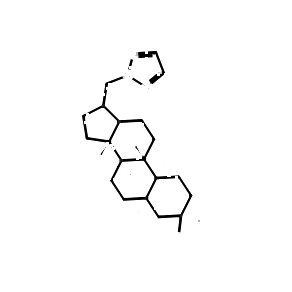 C[C@@H](C1CC[C@H]2[C@@H]3CC[C@@H]4C[C@](C)(O)CC[C@@H]4[C@H]3CC[C@]12C)n1nccn1